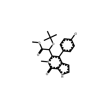 COC(=O)C(OC(C)(C)C)c1c(-c2ccc(Cl)cc2)c2cc[nH]c2c(=O)n1C